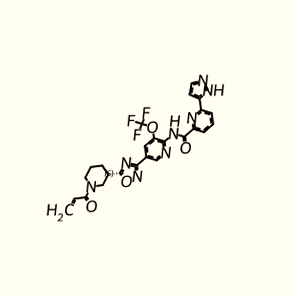 C=CC(=O)N1CCC[C@H](c2nc(-c3cnc(NC(=O)c4cccc(-c5ccn[nH]5)n4)c(OC(F)(F)F)c3)no2)C1